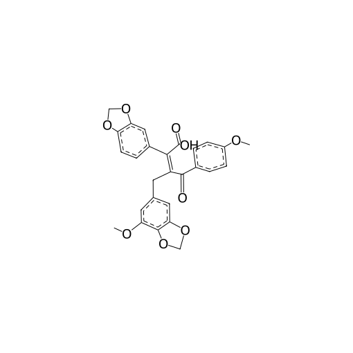 COc1ccc(C(=O)C(Cc2cc(OC)c3c(c2)OCO3)=C(C(=O)O)c2ccc3c(c2)OCO3)cc1